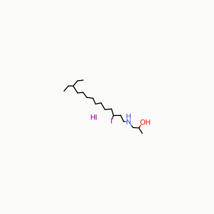 CCC(CC)CCCCCCCCC(I)CCNCC(C)O.I